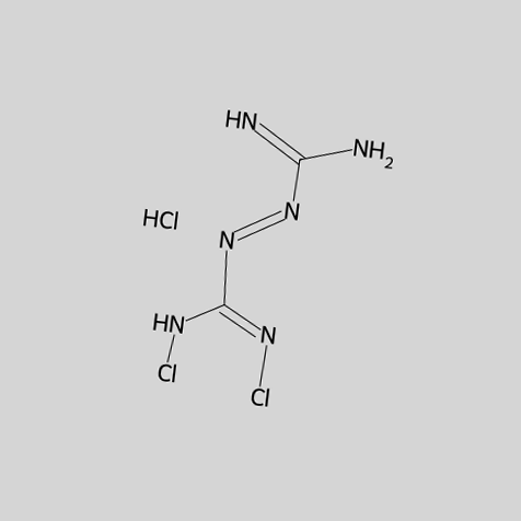 Cl.N=C(N)N=NC(=NCl)NCl